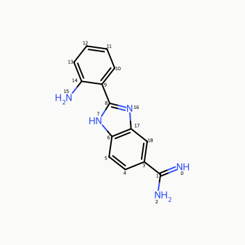 N=C(N)c1ccc2[nH]c(-c3ccccc3N)nc2c1